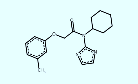 Cc1cccc(OCC(=O)N(c2nccs2)C2CCCCC2)c1